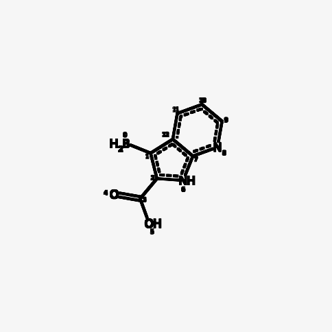 Bc1c(C(=O)O)[nH]c2ncccc12